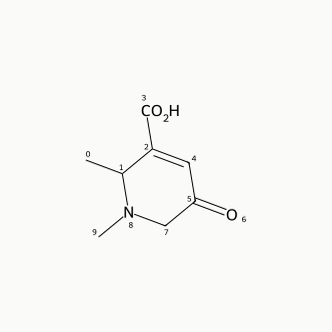 CC1C(C(=O)O)=CC(=O)CN1C